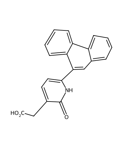 O=C(O)Cc1ccc(-c2cc3ccccc3c3ccccc23)[nH]c1=O